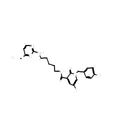 COc1ccnc(NCCCCCNC(=O)c2cc(Cl)cn(Cc3ccc(Cl)cc3)c2=O)n1